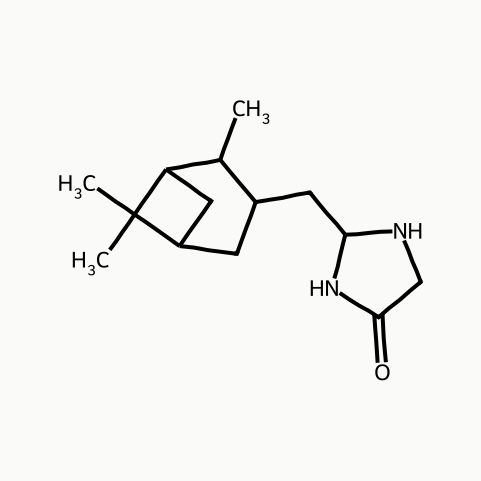 CC1C(CC2NCC(=O)N2)CC2CC1C2(C)C